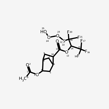 CC(=O)OC1CC2CC1CC2C(=O)OC(C(F)(F)F)C(F)(F)SOOO